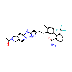 CC(=O)N1Cc2cnc(Nc3cc(CCc4cc(-c5c(C(N)=O)cccc5C(F)(F)F)ccc4C)n[nH]3)cc2C1